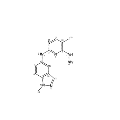 CCCNc1nc(Nc2ccc3c(cnn3C)c2)ncc1I